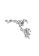 COCCOCC(CC(O)CC(C)O)OCCOCCOC(COC)CC(O)CC(C)O